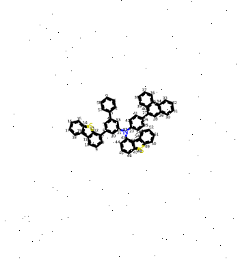 c1ccc(-c2cc(-c3cccc4c3sc3ccccc34)cc(N(c3ccc(-c4cc5ccccc5c5ccccc45)cc3)c3cccc4sc5ccccc5c34)c2)cc1